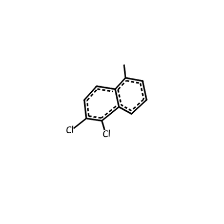 Cc1cccc2c(Cl)c(Cl)ccc12